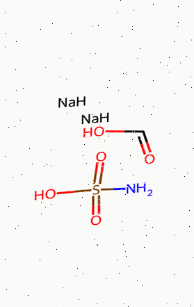 NS(=O)(=O)O.O=CO.[NaH].[NaH]